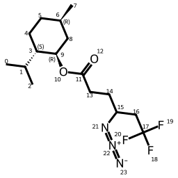 CC(C)[C@@H]1CC[C@@H](C)C[C@H]1OC(=O)CCC(CC(F)(F)F)N=[N+]=[N-]